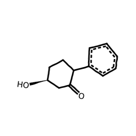 O=C1C[C@@H](O)CCC1c1ccccc1